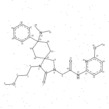 COCCCN1C(=O)N(CC(=O)Nc2cccc(OC)n2)CC12CCC(c1ccccc1)(N(C)C)CC2